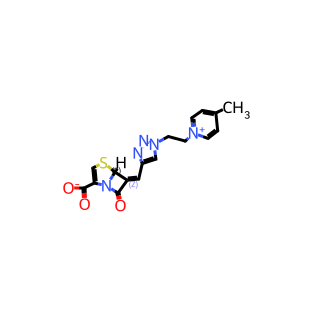 Cc1cc[n+](CCn2cc(/C=C3/C(=O)N4C(C(=O)[O-])=CS[C@H]34)nn2)cc1